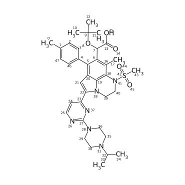 Cc1ccc(-c2c(C(OC(C)(C)C)C(=O)O)c(C)c3c4c2cc(-c2ccnc(N5CCN(C(C)C)CC5)n2)n4CCN3S(C)(=O)=O)cc1